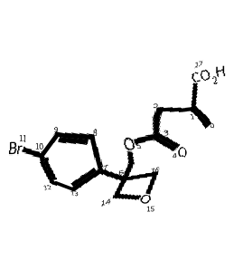 C=C(CC(=O)OC1(c2ccc(Br)cc2)COC1)C(=O)O